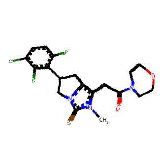 Cn1c(CC(=O)N2CCOCC2)c2n(c1=S)CC(c1c(F)ccc(Cl)c1F)C2